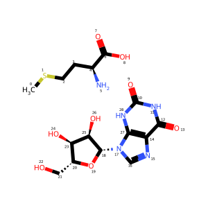 CSCC[C@H](N)C(=O)O.O=c1[nH]c(=O)c2ncn([C@@H]3O[C@H](CO)[C@@H](O)[C@H]3O)c2[nH]1